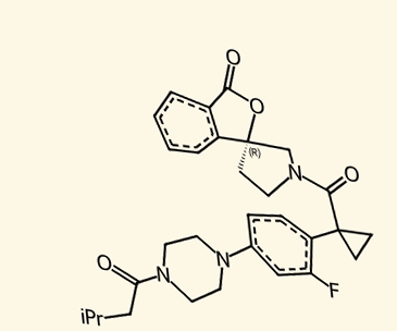 CC(C)CC(=O)N1CCN(c2ccc(C3(C(=O)N4CC[C@@]5(C4)OC(=O)c4ccccc45)CC3)c(F)c2)CC1